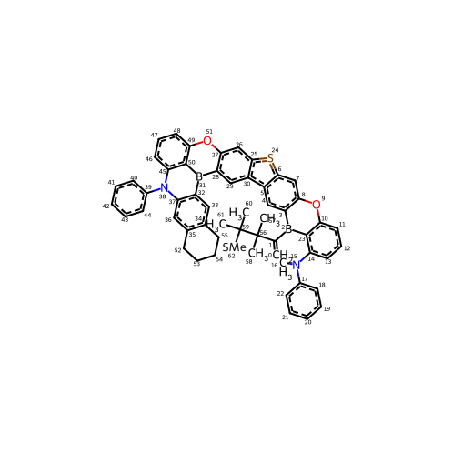 C=C(B1c2cc3c(cc2Oc2cccc(N(C)c4ccccc4)c21)sc1cc2c(cc13)B1c3cc4c(cc3N(c3ccccc3)c3cccc(c31)O2)CCCC4)C(C)(C)C(C)(C)SC